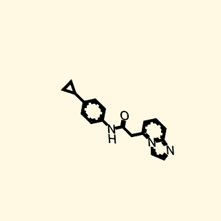 O=C(Cc1cccc2nccn12)Nc1ccc(C2CC2)cc1